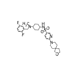 CN(Cc1cc(F)ccc1F)C1CCC(NS(=O)(=O)c2ccc(N3CCC4(CCOC4)CC3)nc2)CC1